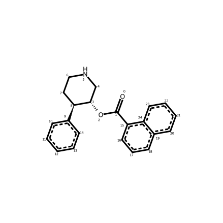 O=C(O[C@H]1CNCC[C@@H]1c1ccccc1)c1cccc2ccccc12